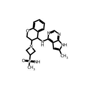 Cc1cc2c(NC3c4ccccc4OCC3N3CC(S(C)(=N)=O)C3)ncnc2[nH]1